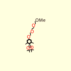 COCCOCCOCCOc1cc(C)c(B2OC(C)(C)C(C)(C)O2)c(C)c1